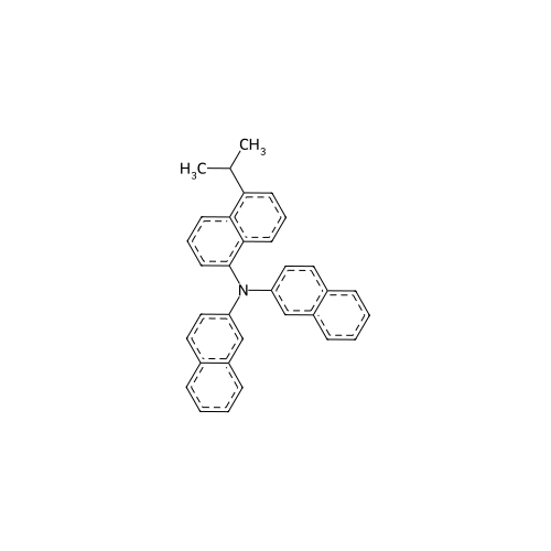 CC(C)c1cccc2c(N(c3ccc4ccccc4c3)c3ccc4ccccc4c3)cccc12